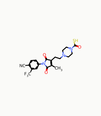 CC1=C(CCN2CCN(C(=O)S)CC2)C(=O)N(c2ccc(C#N)c(C(F)(F)F)c2)C1=O